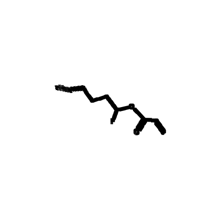 C=CC(=O)OC(F)CCCCCCCCC